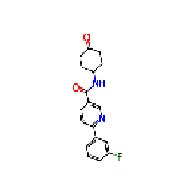 O=C1CCC(NC(=O)c2ccc(-c3cccc(F)c3)nc2)CC1